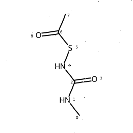 CNC(=O)NSC(C)=O